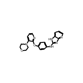 c1cnc(Oc2ccc(Nc3nc4ncccc4[nH]3)cc2)c(N2CCOCC2)c1